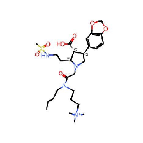 CCCCN(CCC[N+](C)(C)C)C(=O)CN1C[C@H](c2ccc3c(c2)OCO3)[C@@H](C(=O)O)[C@@H]1CCNS(C)(=O)=O